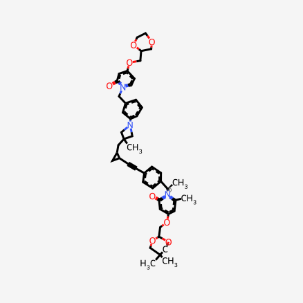 Cc1cc(OCC2OCC(C)(C)CO2)cc(=O)n1[C@H](C)c1ccc(C#CC2CC2CC2(C)CN(c3cccc(Cn4ccc(OCC5COCCO5)cc4=O)c3)C2)cc1